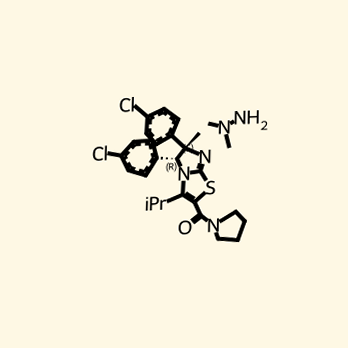 CC(C)C1=C(C(=O)N2CCCC2)SC2=N[C@@](C)(c3ccc(Cl)cc3)[C@@H](c3ccc(Cl)cc3)N21.CN(C)N